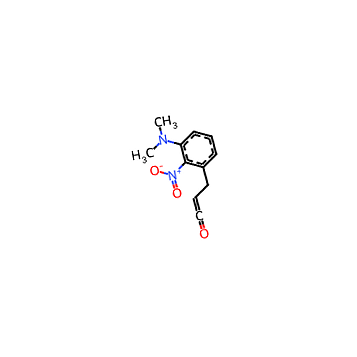 CN(C)c1cccc(CC=C=O)c1[N+](=O)[O-]